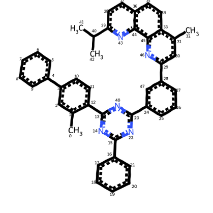 Cc1cc(-c2ccccc2)ccc1-c1nc(-c2ccccc2)nc(-c2cccc(-c3cc(C)c4ccc5ccc(C(C)C)nc5c4n3)c2)n1